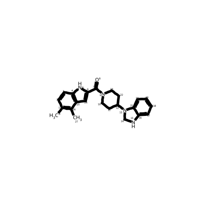 Cc1ccc2[nH]c(C(=O)N3CCC(N4[CH]Nc5ccccc54)CC3)cc2c1C